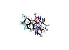 Cn1nc2c(c1-c1cc(F)c(F)c(F)c1)C[C@H]1CCC[C@@H]2N1C(=O)c1cc(F)ccc1-n1cccn1